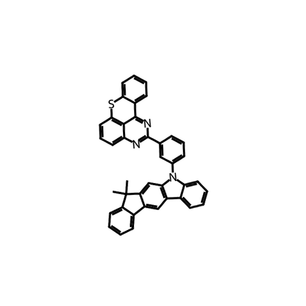 CC1(C)c2ccccc2-c2cc3c4ccccc4n(-c4cccc(-c5nc6c7c(cccc7n5)Sc5ccccc5-6)c4)c3cc21